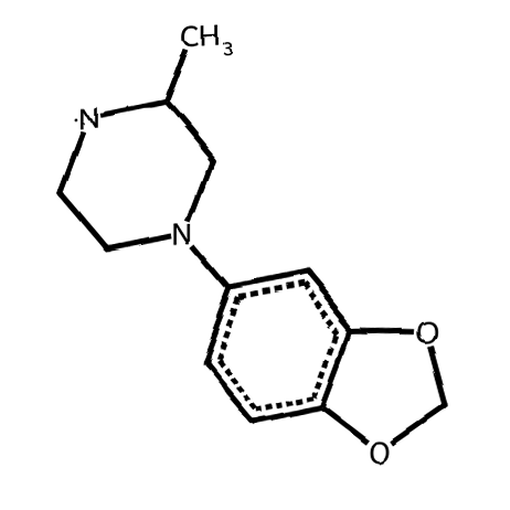 CC1CN(c2ccc3c(c2)OCO3)CC[N]1